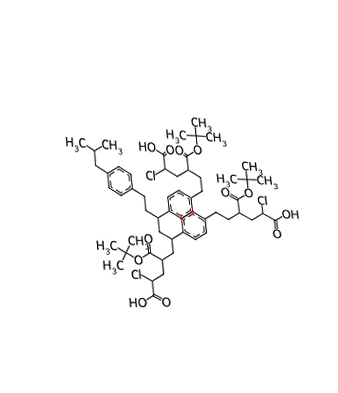 CC(C)Cc1ccc(CCC(CC(CC(CC(Cl)C(=O)O)C(=O)OC(C)(C)C)c2ccc(CCC(CC(Cl)C(=O)O)C(=O)OC(C)(C)C)cc2)c2ccc(CCC(CC(Cl)C(=O)O)C(=O)OC(C)(C)C)cc2)cc1